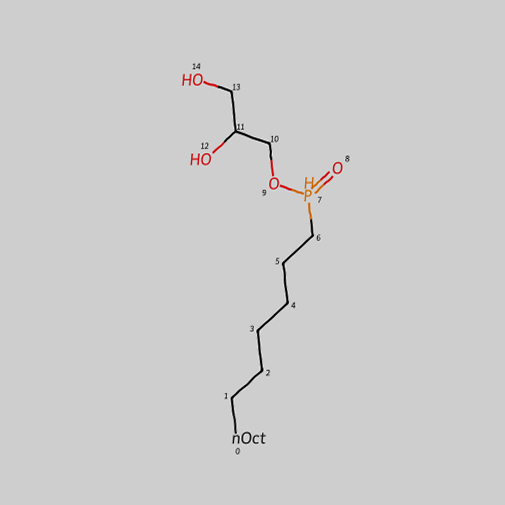 CCCCCCCCCCCCCC[PH](=O)OCC(O)CO